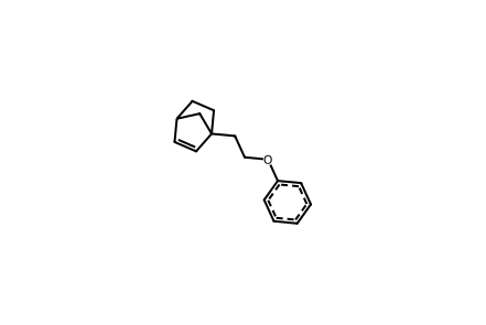 C1=CC2(CCOc3ccccc3)CCC1C2